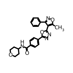 Cc1onc(-c2ccccc2)c1-c1nnc(-c2ccc(C(=O)NC3CCOCC3)cc2)o1